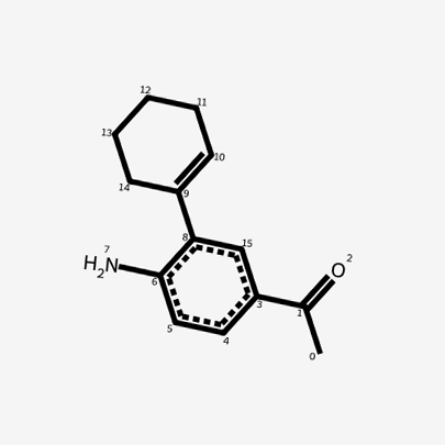 CC(=O)c1ccc(N)c(C2=CCCCC2)c1